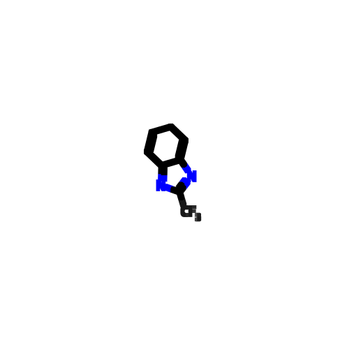 FC(F)(F)C1=NC2=CCC=CC2=N1